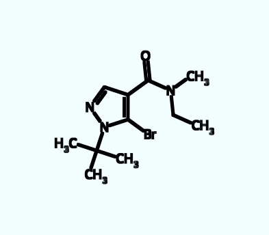 CCN(C)C(=O)c1cnn(C(C)(C)C)c1Br